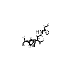 CCC(=O)NCCC(CC)n1cc(C(C)C)cn1